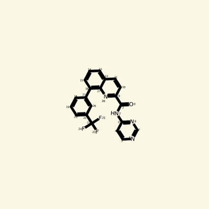 O=C(Nc1ccncn1)c1ccc2cccc(-c3cccc(C(F)(F)F)c3)c2n1